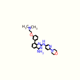 CN(C)CCOc1cccc(-c2cccc3c(N)nc(Nc4ccc(N5CCOCC5)nc4)nc23)c1